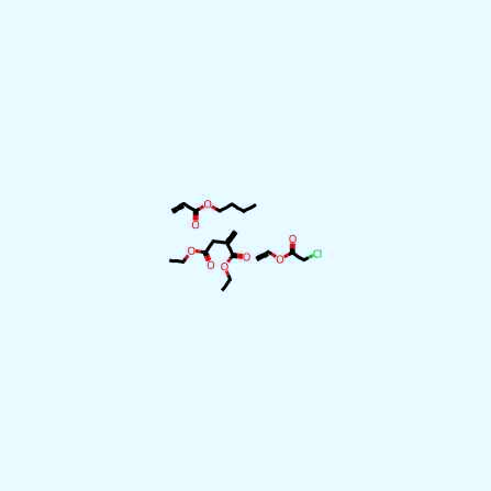 C=C(CC(=O)OCC)C(=O)OCC.C=CC(=O)OCCCC.C=COC(=O)CCl